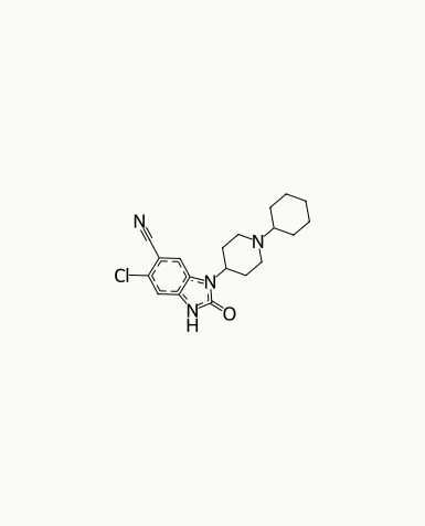 N#Cc1cc2c(cc1Cl)[nH]c(=O)n2C1CCN(C2CCCCC2)CC1